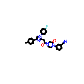 Cc1ccc(-c2cn(-c3ccc(F)cc3)c(CC(=O)N3CCN(c4cccc(C#N)c4)C(=O)C3)n2)cc1